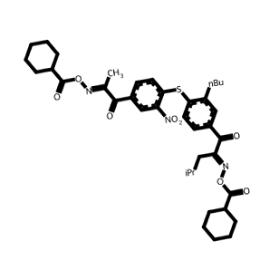 CCCCc1cc(C(=O)/C(CC(C)C)=N/OC(=O)C2CCCCC2)ccc1Sc1ccc(C(=O)/C(C)=N/OC(=O)C2CCCCC2)cc1[N+](=O)[O-]